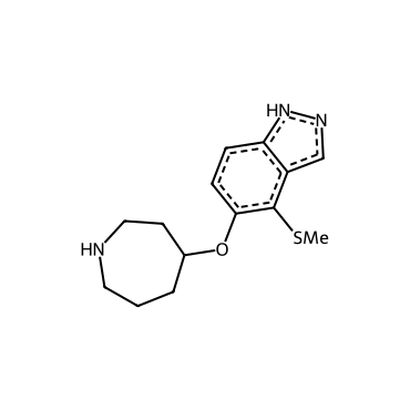 CSc1c(OC2CCCNCC2)ccc2[nH]ncc12